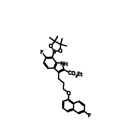 CCOC(=O)c1[nH]c2c(B3OC(C)(C)C(C)(C)O3)c(F)ccc2c1CCCOc1cccc2cc(F)ccc12